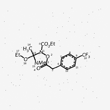 CCOC(=O)N(OC(=O)Cc1ccc(C(F)(F)F)cc1)C(C)(NC)OCC